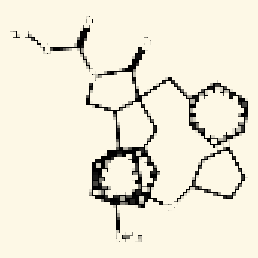 COc1ccc(C2CN(C(=O)OC(C)(C)C)C(=O)C2(Cc2ccccc2)Cc2ccncc2)cc1OC1CCCC1